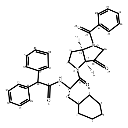 O=C(N[C@@H](CC1CCCCC1)C(=O)N1CC[C@@H]2[C@H]1C(=O)CN2C(=O)c1ccccc1)C(c1ccccc1)c1ccccc1